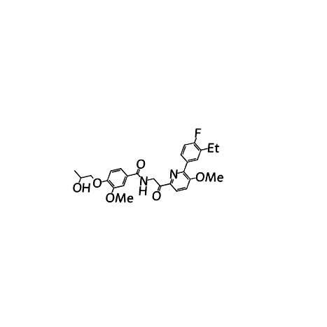 CCc1cc(-c2nc(C(=O)CNC(=O)c3ccc(OCC(C)O)c(OC)c3)ccc2OC)ccc1F